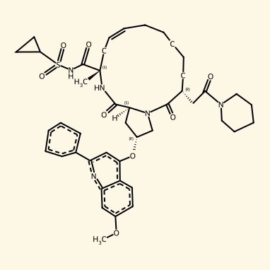 COc1ccc2c(O[C@@H]3C[C@H]4C(=O)N[C@](C)(C(=O)NS(=O)(=O)C5CC5)CC=CCCCCC[C@H](CC(=O)N5CCCCC5)C(=O)N4C3)cc(-c3ccccc3)nc2c1